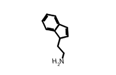 NCCC1C=Cc2ccccc21